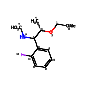 COCO[C@@H](C)C(NC(=O)O)c1ccccc1I